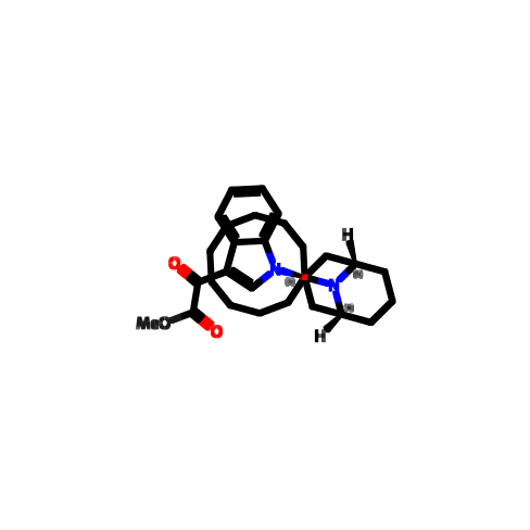 COC(=O)C(=O)c1cn([C@@H]2C[C@H]3CCC[C@@H](C2)N3C2CCCCCCCCC2)c2ccccc12